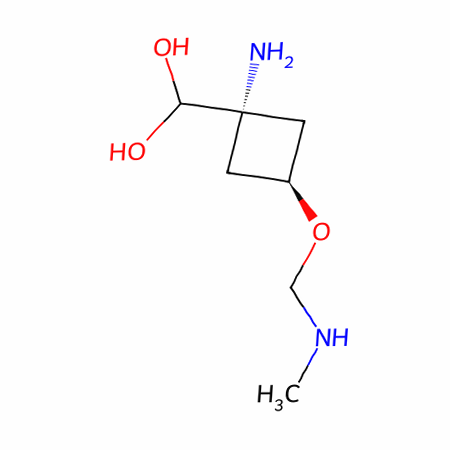 CNCO[C@H]1C[C@@](N)(C(O)O)C1